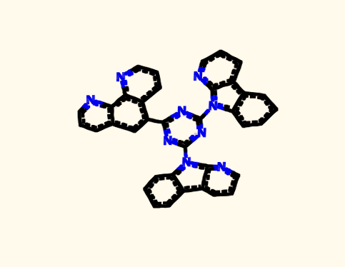 c1cnc2c(c1)cc(-c1nc(-n3c4ccccc4c4cccnc43)nc(-n3c4ccccc4c4cccnc43)n1)c1cccnc12